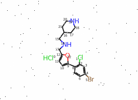 Cl.Clc1cc(Br)ccc1-c1ccc(CNCC2CCNCC2)o1